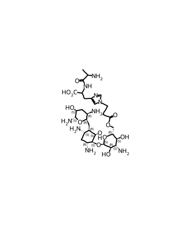 CC(N)C(=O)NC(Cc1cn(CCC(=O)OC[C@H]2O[C@H](O[C@@H]3[C@@H](O)[C@H](C[C@H]4O[C@H](N)[C@@H](O)C[C@H]4N)[C@@H](N)C[C@H]3N)[C@H](O)[C@@H](N)[C@@H]2O)cn1)C(=O)O